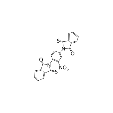 O=C1c2ccccc2C(=S)N1c1ccc(N2C(=O)c3ccccc3C2=S)c([N+](=O)[O-])c1